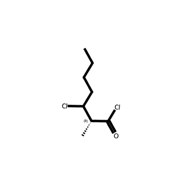 CCCCC(Cl)[C@@H](C)C(=O)Cl